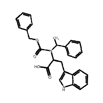 CC(c1ccccc1)N(C(=O)OCc1ccccc1)C(Cc1c[nH]c2ccccc12)C(=O)O